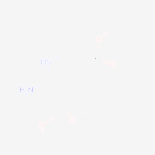 CCOC(=O)C1=C(N)NC(C)=C(C(=O)OC(C)C)C1c1ccccc1Cl